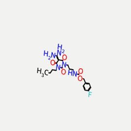 CCCCN1C(=O)C(=C(N)N)C(=O)N(CCCNC(=O)OCc2ccc(F)cc2)C1=O